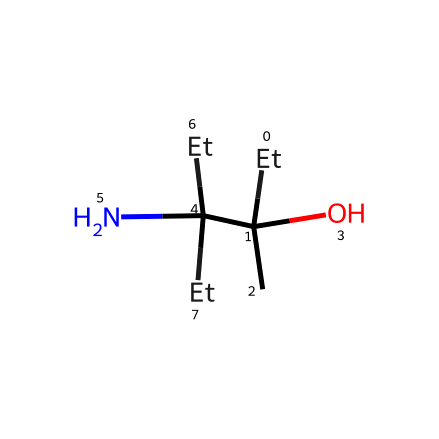 CCC(C)(O)C(N)(CC)CC